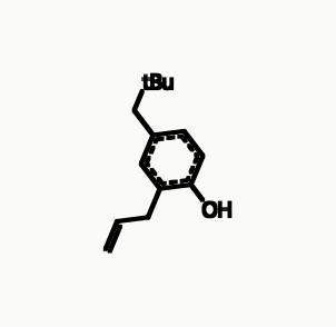 C=CCc1cc(CC(C)(C)C)ccc1O